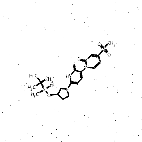 CC(C)(C)[Si](C)(C)O[C@@H]1CCN(c2ccc(-n3ccc(S(C)(=O)=O)cc3=O)c(=O)[nH]2)C1